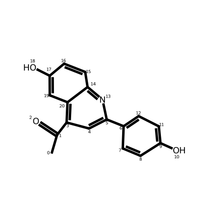 CC(=O)c1cc(-c2ccc(O)cc2)nc2ccc(O)cc12